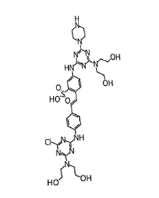 O=S(=O)(O)c1cc(Nc2nc(N(CCO)CCO)nc(N3CCNCC3)n2)ccc1/C=C/c1ccc(Nc2nc(Cl)nc(N(CCO)CCO)n2)cc1